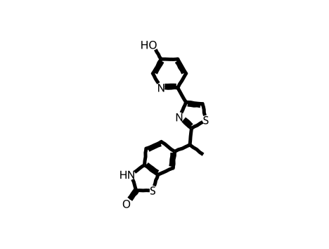 CC(c1ccc2[nH]c(=O)sc2c1)c1nc(-c2ccc(O)cn2)cs1